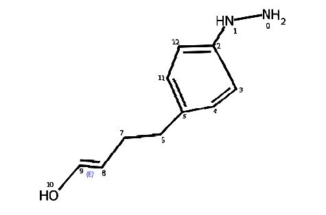 NNc1ccc(CC/C=C/O)cc1